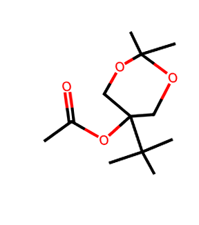 CC(=O)OC1(C(C)(C)C)COC(C)(C)OC1